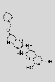 O=c1[nH]c(=Cc2ccc(OCc3ccccc3)cn2)c(=O)[nH]c1=Cc1cc(O)cc(O)c1